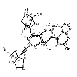 C#Cc1cccc2cc(O)cc(-c3ncc4c(N5C[C@@H]6C[C@H]5CN6)nc(C#C[C@@]56CCCN5C[C@H](F)C6)nc4c3F)c12